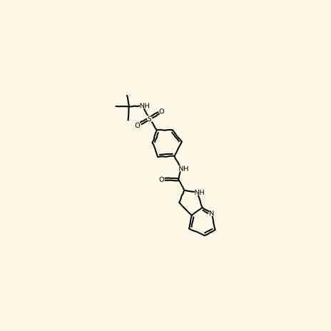 CC(C)(C)NS(=O)(=O)c1ccc(NC(=O)C2Cc3cccnc3N2)cc1